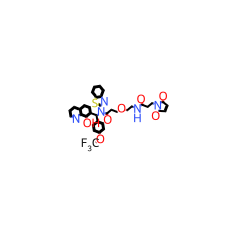 O=C(CCN1C(=O)C=CC1=O)NCCOCCC(=O)N(c1nc2ccccc2s1)C(c1ccc(OC(F)(F)F)cc1)c1ccc2cccnc2c1O